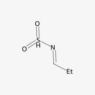 CCC=N[SH](=O)=O